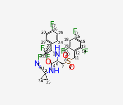 N#CC1(NC(=O)[C@H](CS(=O)(=O)Cc2c(F)cc(F)cc2F)N[C@@H](c2ccc(F)cc2)C(F)(F)F)CC1